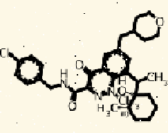 CC(c1cc(CC2CCOCC2)cc2c(=O)c(C(=O)NCc3ccc(Cl)cc3)nn(C)c12)[C@@]1(O)CCCC[C@H]1C